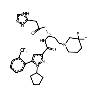 O=C(Cc1nnc[nH]1)C[C@H](CCN1CCCC(F)(F)C1)NC(=O)c1cc(-c2ccccc2C(F)(F)F)n(C2CCCC2)n1